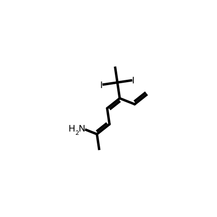 C=C/C(=C\C=C(\C)N)C(C)(I)I